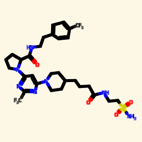 NS(=O)(=O)CCNC(=O)CCCC1CCN(c2cc(N3CCCC3C(=O)NCCc3ccc(C(F)(F)F)cc3)nc(C(F)(F)F)n2)CC1